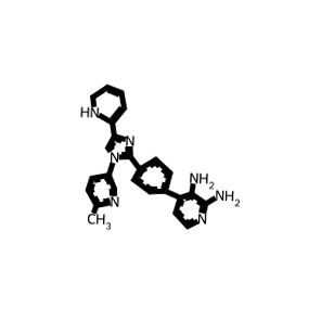 Cc1ccc(-n2cc(C3=CC=CCN3)nc2-c2ccc(-c3ccnc(N)c3N)cc2)cn1